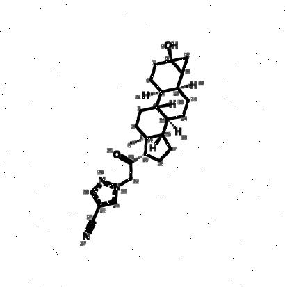 C[C@]12CC[C@@H]3[C@H]4CC[C@]5(O)CC5[C@H]4CC[C@H]3[C@@H]1CC[C@@H]2C(=O)Cn1cc(C#N)cn1